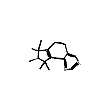 C[C@H]1C(C)(C)C2=C(c3ncncc3CC2)C1(C)C